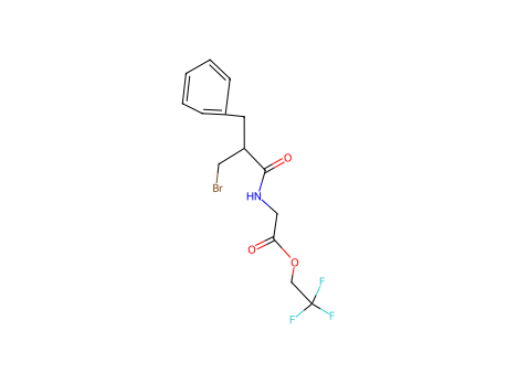 O=C(CNC(=O)C(CBr)Cc1ccccc1)OCC(F)(F)F